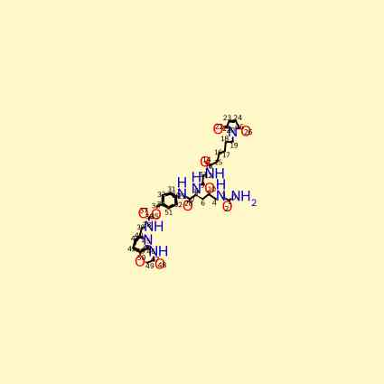 NC(=O)NCCC[C@H](NC(=O)CNC(=O)CCCCCN1C(=O)C=CC1=O)C(=O)Nc1ccc(COC(=O)NCc2ccc3c(n2)NC(=O)CO3)cc1